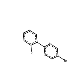 Clc1ccccc1-c1ncc(Br)cn1